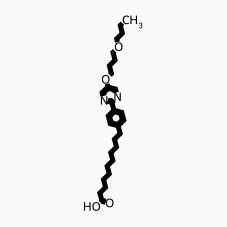 CCCCOCCCCOc1cnc(-c2ccc(CCCCCCCCCCC(=O)O)cc2)nc1